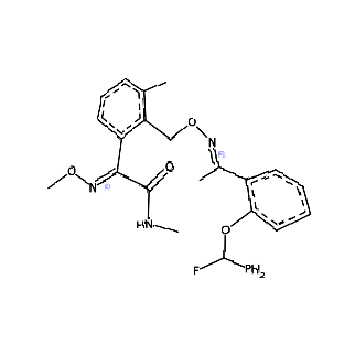 CNC(=O)/C(=N/OC)c1cccc(C)c1CO/N=C(\C)c1ccccc1OC(F)P